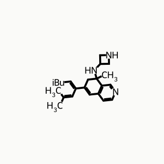 CCC(C)/C=C(\C=C(C)C)C1=Cc2ccncc2C(C)(NC2CNC2)C1